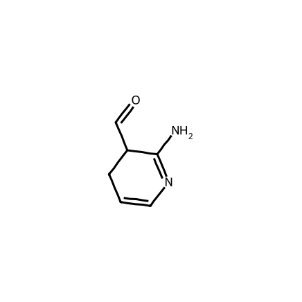 NC1=NC=CCC1C=O